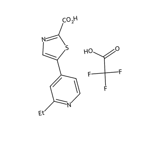 CCc1cc(-c2cnc(C(=O)O)s2)ccn1.O=C(O)C(F)(F)F